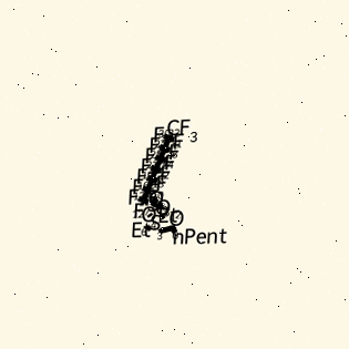 CCCCCC(=O)CS(CC)(CC)OS(=O)(=O)C(F)(F)C(F)(F)C(F)(F)C(F)(F)C(F)(F)C(F)(F)C(F)(F)C(F)(F)F